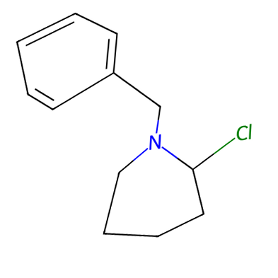 ClC1CCCCN1Cc1ccccc1